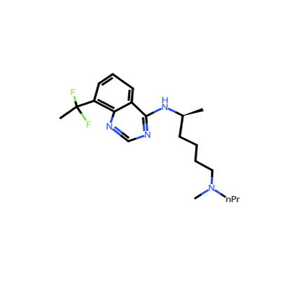 CCCN(C)CCCC[C@H](C)Nc1ncnc2c(C(C)(F)F)cccc12